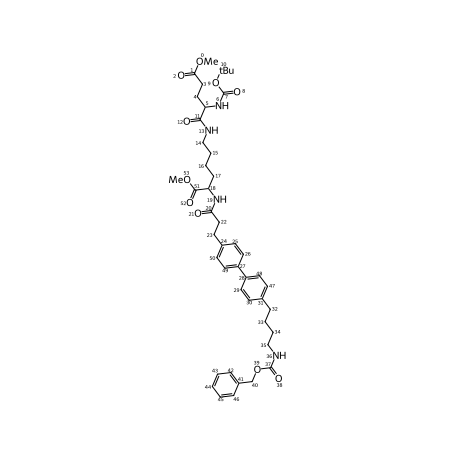 COC(=O)CCC(NC(=O)OC(C)(C)C)C(=O)NCCCCC(NC(=O)CCc1ccc(-c2ccc(CCCCNC(=O)OCc3ccccc3)cc2)cc1)C(=O)OC